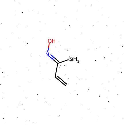 C=CC([SiH3])=NO